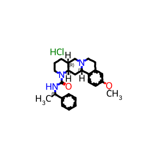 COc1ccc2c(c1)CCN1C[C@H]3CCCN(C(=O)N[C@H](C)c4ccccc4)[C@H]3C[C@@H]21.Cl